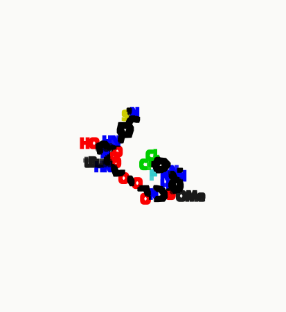 COc1cc2ncnc(Nc3ccc(Cl)c(Cl)c3F)c2cc1OC1CCN(C(=O)CCOCCOCCC(=O)N[C@H](C(=O)N2C[C@H](O)C[C@H]2C(=O)NCc2ccc(-c3scnc3C)cc2)C(C)(C)C)CC1